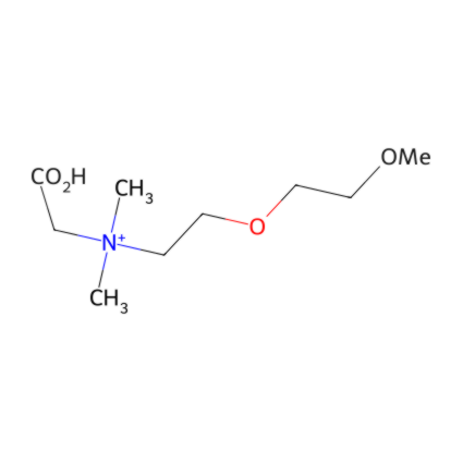 COCCOCC[N+](C)(C)CC(=O)O